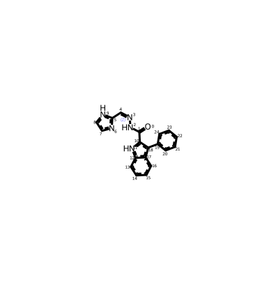 O=C(N/N=C\c1ncc[nH]1)c1[nH]c2ccccc2c1-c1ccccc1